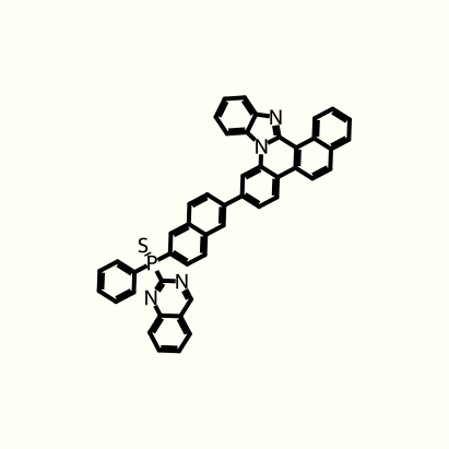 S=P(c1ccccc1)(c1ccc2cc(-c3ccc4c5ccc6ccccc6c5c5nc6ccccc6n5c4c3)ccc2c1)c1ncc2ccccc2n1